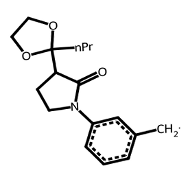 [CH2]c1cccc(N2CCC(C3(CCC)OCCO3)C2=O)c1